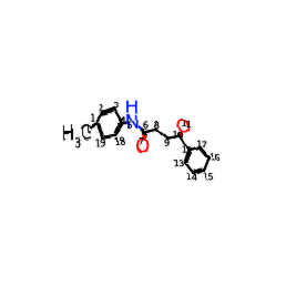 Cc1ccc(NC(=O)CCC(=O)c2ccccc2)cc1